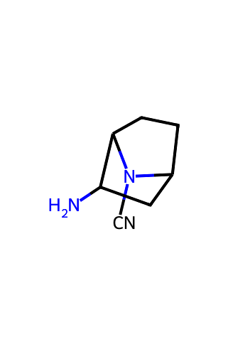 N#CN1C2CCC1C(N)C2